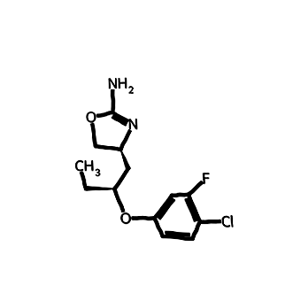 CC[C@@H](C[C@H]1COC(N)=N1)Oc1ccc(Cl)c(F)c1